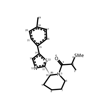 CSC(C)C(=O)N1CCCC[C@@H]1c1ncc(-c2ccc(C)cc2)s1